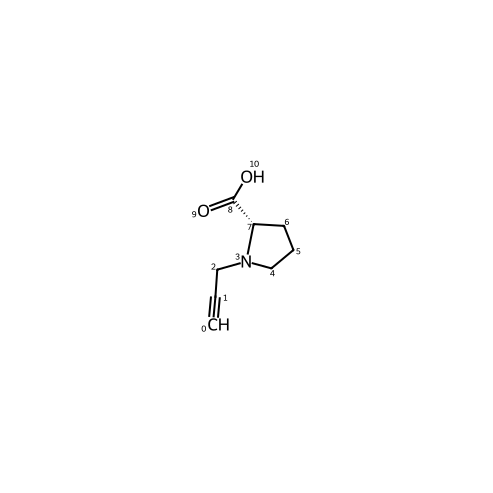 C#CCN1CCC[C@H]1C(=O)O